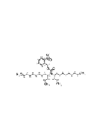 CCCCCCCCCC(CCC)N(C(=O)OCc1ccccc1[N+](=O)[O-])C(CCC)CCCCCCCCC